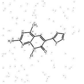 CCn1c(=O)c(-c2cccs2)cc2c(C)nc(N)nc21